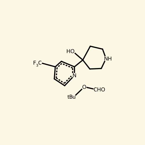 CC(C)(C)OC=O.OC1(c2cc(C(F)(F)F)ccn2)CCNCC1